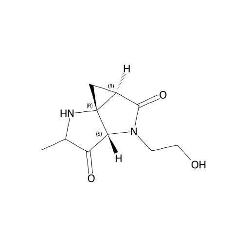 CC1N[C@]23C[C@H]2C(=O)N(CCO)[C@@H]3C1=O